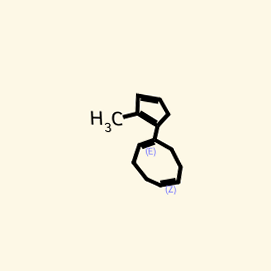 CC1=C(/C2=C/CC/C=C\CC2)CC=C1